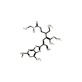 CCC(CCC(=O)[S+]([O-])CC)C(/C=C(\C=N)c1nc2c(C)nc(NI)nc2s1)=C(/C)OC